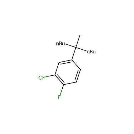 CCCCC(C)(CCCC)c1ccc(F)c(Cl)c1